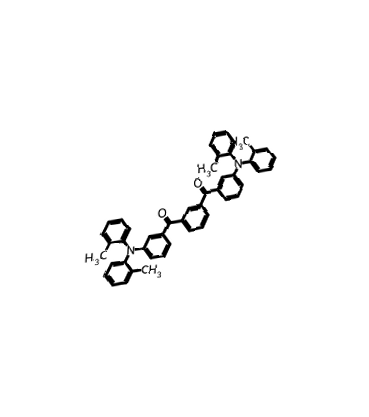 Cc1ccccc1N(c1cccc(C(=O)c2cccc(C(=O)c3cccc(N(c4ccccc4C)c4ccccc4C)c3)c2)c1)c1ccccc1C